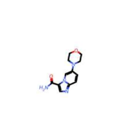 NC(=O)c1cnc2ccc(N3CCOCC3)cn12